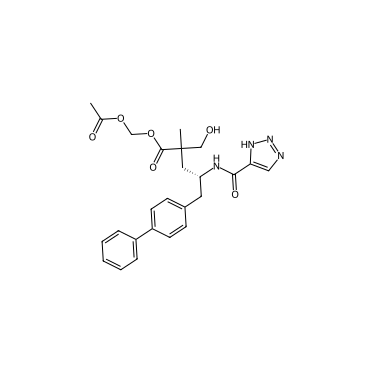 CC(=O)OCOC(=O)C(C)(CO)C[C@@H](Cc1ccc(-c2ccccc2)cc1)NC(=O)c1cnn[nH]1